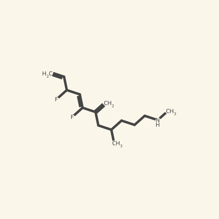 C=CC(F)C=C(F)C(=C)CC(C)CCCNC